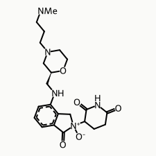 CNCCCN1CCO[C@@H](CNc2cccc3c2C[N+]([O-])(C2CCC(=O)NC2=O)C3=O)C1